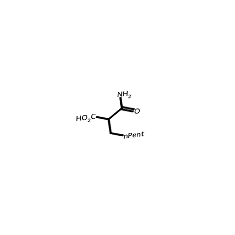 CCCCCCC(C(N)=O)C(=O)O